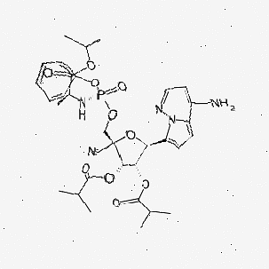 CC(C)OC(=O)[C@H](C)N[P@](=O)(OC[C@@]1(C#N)O[C@@H](c2ccc3c(N)ccnn23)[C@H](OC(=O)C(C)C)[C@@H]1OC(=O)C(C)C)Oc1ccccc1